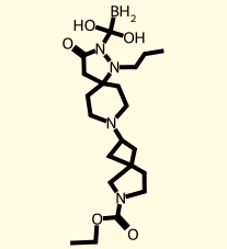 BC(O)(O)N1C(=O)CC2(CCN(C3CC4(CCN(C(=O)OCC)C4)C3)CC2)N1CCC